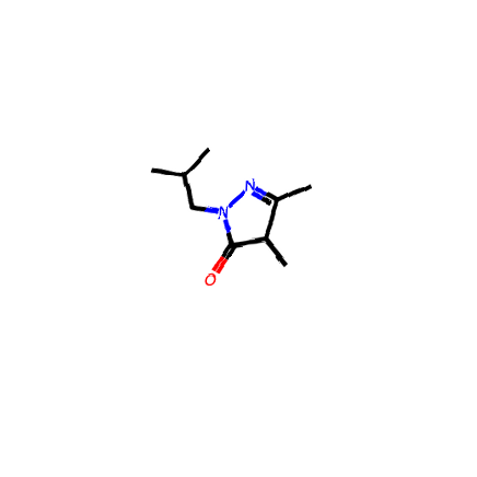 CC1=NN(CC(C)C)C(=O)C1C